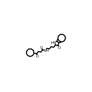 O=C(CCC(=O)C1CCCCCCCC1)NCCCCC1NC2C3CCCCCCC(C3)C2C1=O